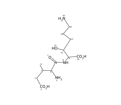 CC(CC(=O)O)C(N)C(=O)NC(C(=O)O)C(O)CCCN